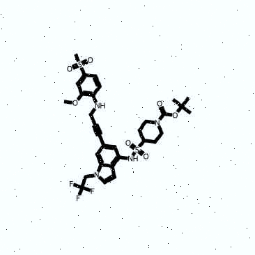 COc1cc(S(C)(=O)=O)ccc1NCC#Cc1cc(NS(=O)(=O)C2CCN(C(=O)OC(C)(C)C)CC2)c2ccn(CC(F)(F)F)c2c1